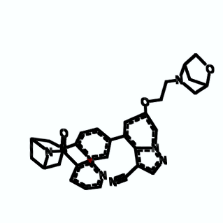 N#Cc1cnn2cc(OCCN3CC4CC3CO4)cc(-c3ccc(N4CC5CC(C4)N5C(=O)c4cccnc4)nc3)c12